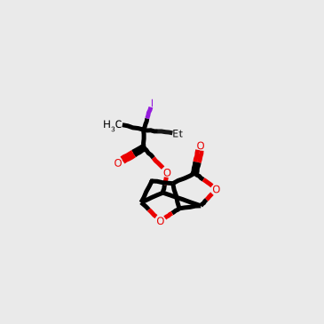 CCC(C)(I)C(=O)OC1C2CC3C(=O)OC1C3O2